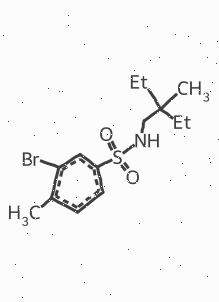 CCC(C)(CC)CNS(=O)(=O)c1ccc(C)c(Br)c1